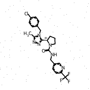 Cc1nnc([C@H]2CCCN2C(=O)NCc2ccc(C(F)(F)F)nc2)n1Cc1ccc(Cl)cc1